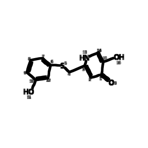 O=c1cc(CSc2cccc(O)c2)[nH]cc1O